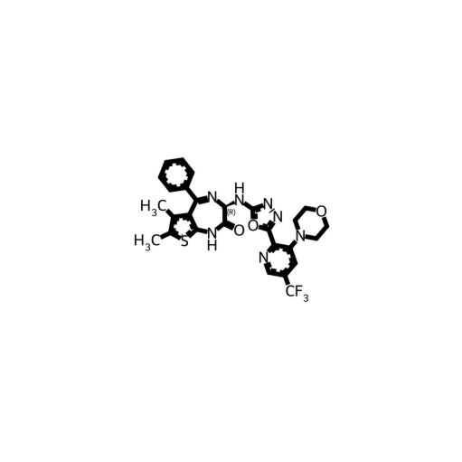 Cc1sc2c(c1C)C(c1ccccc1)=N[C@@H](Nc1nnc(-c3ncc(C(F)(F)F)cc3N3CCOCC3)o1)C(=O)N2